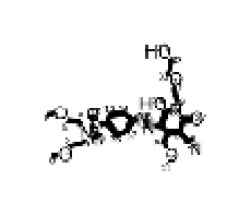 COCCN(CCOC)S(=O)(=O)c1ccc(/N=N/c2c(COC)c(C#N)c(=O)n(CCOCCO)c2O)cc1